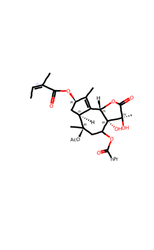 C/C=C(/C)C(=O)O[C@@H]1C[C@H]2C(=C1C)[C@@H]1OC(=O)[C@@](C)(O)[C@@]1(O)C(OC(=O)CCC)C[C@@]2(C)OC(C)=O